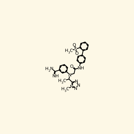 CC(c1nnnn1C)N(CC(=O)Nc1ccc(-c2ccccc2S(C)(=O)=O)cc1)c1cccc(C(=N)N)c1